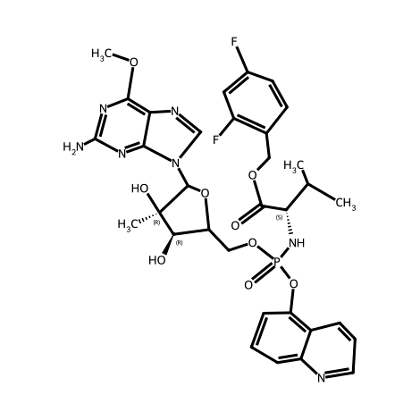 COc1nc(N)nc2c1ncn2C1OC(COP(=O)(N[C@H](C(=O)OCc2ccc(F)cc2F)C(C)C)Oc2cccc3ncccc23)[C@@H](O)[C@@]1(C)O